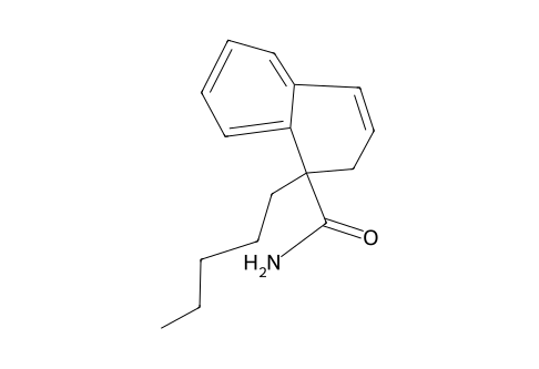 CCCCCC1(C(N)=O)CC=Cc2ccccc21